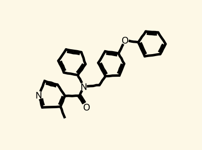 Cc1cnccc1C(=O)N(Cc1ccc(Oc2ccccc2)cc1)c1ccccc1